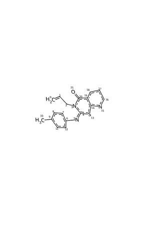 C=CCn1c(=Nc2ccc(C)cc2)sc2ncccc2c1=O